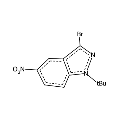 CC(C)(C)n1nc(Br)c2cc([N+](=O)[O-])ccc21